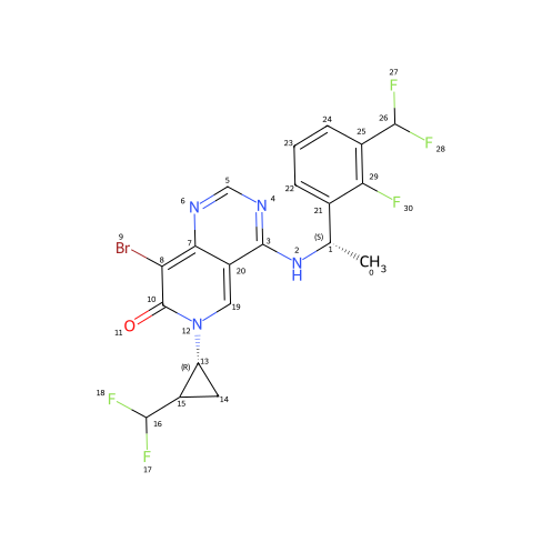 C[C@H](Nc1ncnc2c(Br)c(=O)n([C@@H]3CC3C(F)F)cc12)c1cccc(C(F)F)c1F